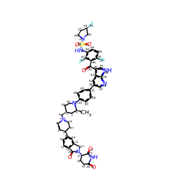 C[C@H]1C[C@@H](CN2CCC(c3ccc4c(c3)CN([C@@H]3CCC(=O)NC3=O)C4=O)CC2)CCN1c1ccc(-c2cnc3[nH]cc(C(=O)c4c(F)ccc(NS(=O)(=O)N5CC[C@@H](F)C5)c4F)c3c2)cc1